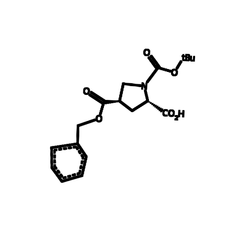 CC(C)(C)OC(=O)N1C[C@H](C(=O)OCc2ccccc2)C[C@H]1C(=O)O